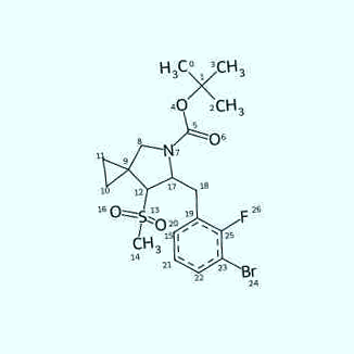 CC(C)(C)OC(=O)N1CC2(CC2)C(S(C)(=O)=O)C1Cc1cccc(Br)c1F